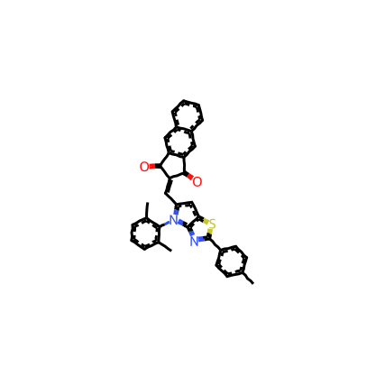 Cc1ccc(-c2nc3c(cc(C=C4C(=O)c5cc6ccccc6cc5C4=O)n3-c3c(C)cccc3C)s2)cc1